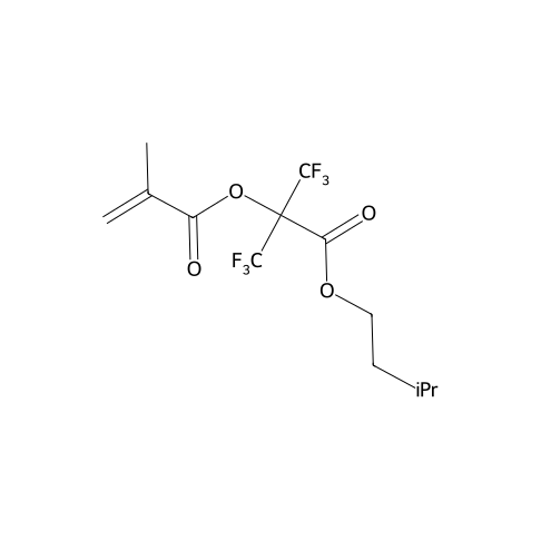 C=C(C)C(=O)OC(C(=O)OCCC(C)C)(C(F)(F)F)C(F)(F)F